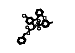 Cc1ccc(S(=O)(=O)N(CC(=O)OCc2ccccc2)c2ccc(Cl)cc2C(=O)c2ccccc2Cl)cc1